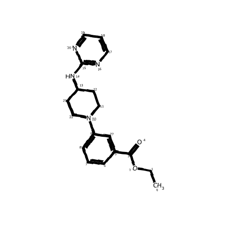 CCOC(=O)c1cccc(N2CCC(Nc3ncccn3)CC2)c1